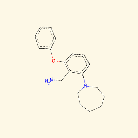 NCc1c(Oc2ccccc2)cccc1N1CCCCCC1